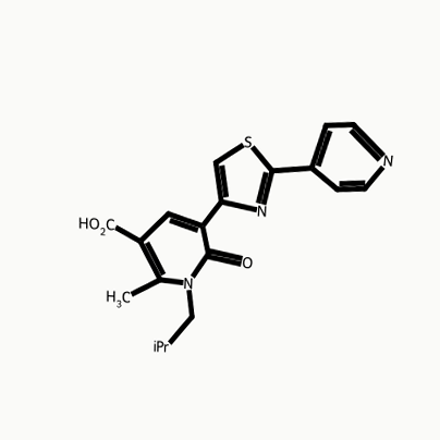 Cc1c(C(=O)O)cc(-c2csc(-c3ccncc3)n2)c(=O)n1CC(C)C